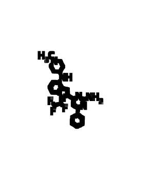 CN1CCC(Nc2cccc3c2cc(-c2cc(-c4ccccc4)nc(N)n2)n3C(F)C(F)F)CC1